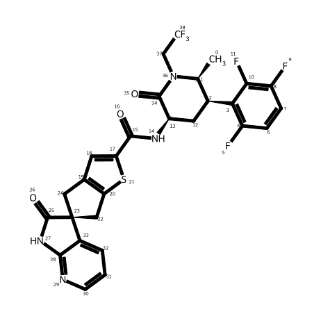 C[C@H]1[C@@H](c2c(F)ccc(F)c2F)C[C@@H](NC(=O)c2cc3c(s2)C[C@]2(C3)C(=O)Nc3ncccc32)C(=O)N1CC(F)(F)F